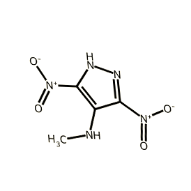 CNc1c([N+](=O)[O-])n[nH]c1[N+](=O)[O-]